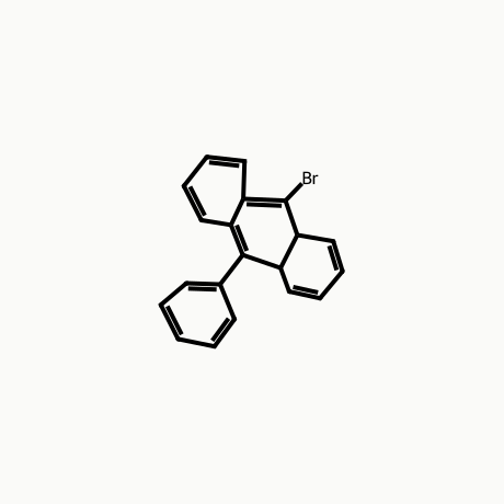 BrC1=c2ccccc2=C(c2ccccc2)C2C=CC=CC12